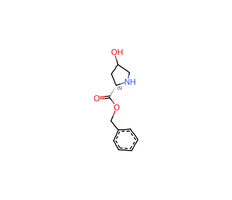 O=C(OCc1ccccc1)[C@@H]1CC(O)CN1